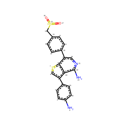 Nc1ccc(-c2csc3c(-c4ccc(C[SH](=O)=O)cc4)cnc(N)c23)cc1